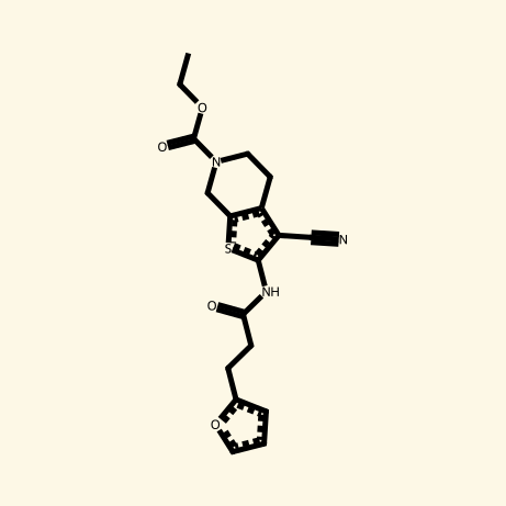 CCOC(=O)N1CCc2c(sc(NC(=O)CCc3ccco3)c2C#N)C1